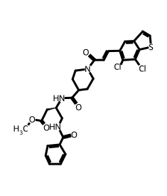 COC(=O)C[C@H](CNC(=O)c1ccccc1)NC(=O)C1CCN(C(=O)/C=C/c2cc3ccsc3c(Cl)c2Cl)CC1